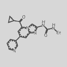 CCNC(=O)Nc1cn2c(C(=O)C3CC3)cc(-c3cccnc3)cc2n1